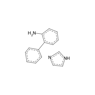 Nc1ccccc1-c1ccccc1.c1c[nH]cn1